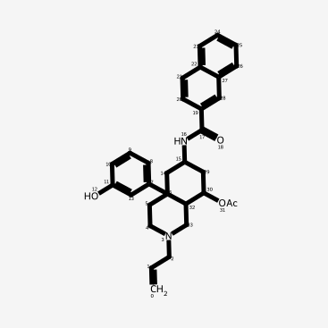 C=CCN1CCC2(c3cccc(O)c3)CC(NC(=O)c3ccc4ccccc4c3)CC(OC(C)=O)C2C1